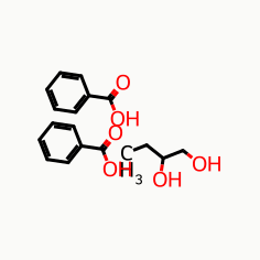 CCC(O)CO.O=C(O)c1ccccc1.O=C(O)c1ccccc1